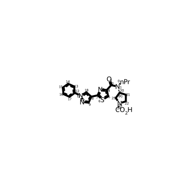 CCCN(C(=O)c1csc(-c2cnn(-c3ccccc3)c2)n1)[C@@H]1CCN(C(=O)O)C1